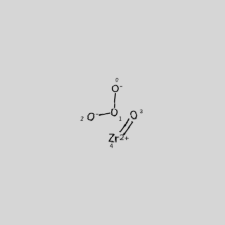 [O-]O[O-].[O]=[Zr+2]